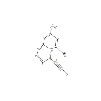 CC#Cc1cccc2cc(O)cc(C(C)C)c12